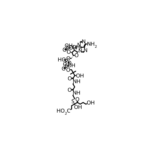 CC(C)(COP(=O)(O)OP(=O)(O)OC[C@H]1O[C@@H](n2cnc3c(N)ncnc32)[C@H](O)[C@@H]1OP(=O)(O)O)C(O)C(=O)NCCC(=O)NCCSC(O)(CCC(=O)O)C(=O)CCCO